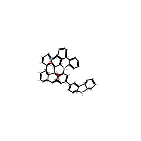 c1ccc(-c2ccccc2N(c2cccc(-c3ccc4oc5ccccc5c4c3)c2)c2ccccc2-c2cccc3cccc(-c4ccccc4)c23)cc1